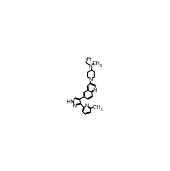 Cc1cccc(-c2n[nH]cc2-c2ccc3ncc(N4CCC(N(C)CC(C)C)CC4)cc3c2)n1